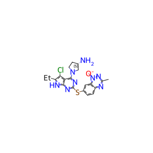 CCc1[nH]c2nc(Sc3ccc4nc(C)n[n+]([O-])c4c3)nc(N3CC[C@H](N)C3)c2c1Cl